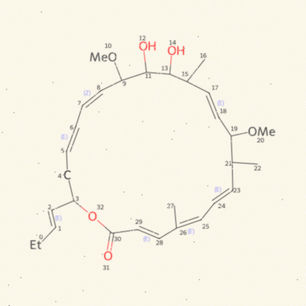 CC/C=C/C1C/C=C/C=C\C(OC)C(O)C(O)C(C)/C=C/C(OC)C(C)/C=C/C=C(C)/C=C/C(=O)O1